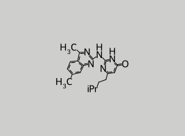 Cc1ccc2c(C)nc(Nc3nc(CCC(C)C)cc(=O)[nH]3)nc2c1